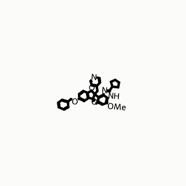 COc1cc(C)c(C2(Cc3ccncc3)C(=O)c3ccc(OCc4ccccc4)cc3C2=O)c2nc(C3CCCC3)[nH]c12